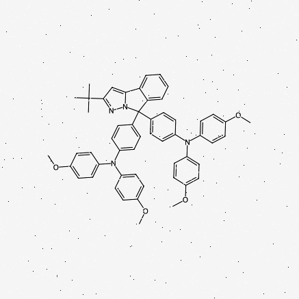 COc1ccc(N(c2ccc(OC)cc2)c2ccc(C3(c4ccc(N(c5ccc(OC)cc5)c5ccc(OC)cc5)cc4)c4ccccc4-c4cc(C(C)(C)C)nn43)cc2)cc1